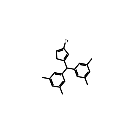 CCC1=CCC(C(c2cc(C)cc(C)c2)c2cc(C)cc(C)c2)=C1